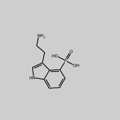 NCCc1c[nH]c2cccc(P(=O)(O)O)c12